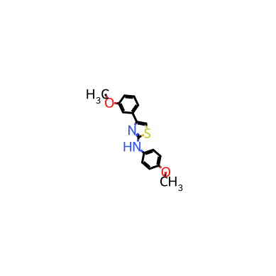 COc1ccc(Nc2nc(-c3cccc(OC)c3)cs2)cc1